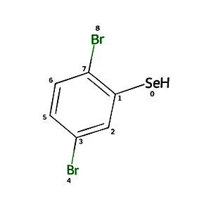 [SeH]c1cc(Br)ccc1Br